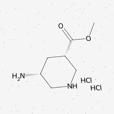 COC(=O)[C@@H]1CNC[C@H](N)C1.Cl.Cl